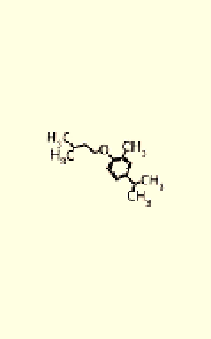 Cc1cc(C(C)C)ccc1OCCC(C)C